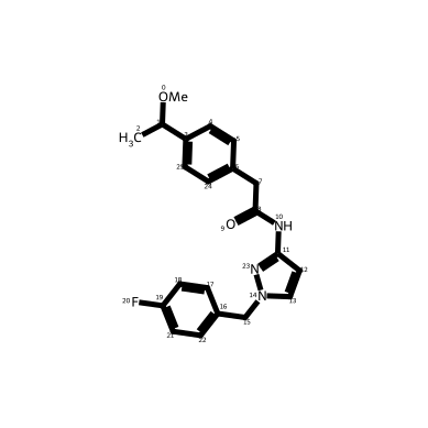 COC(C)c1ccc(CC(=O)Nc2ccn(Cc3ccc(F)cc3)n2)cc1